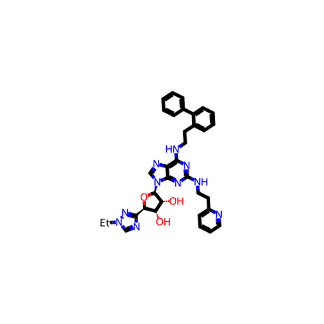 CCn1cnc([C@H]2O[C@@H](n3cnc4c(NCCc5ccccc5-c5ccccc5)nc(NCCc5ccccn5)nc43)[C@H](O)[C@@H]2O)n1